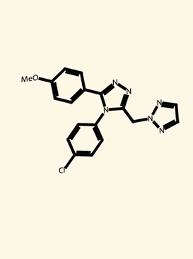 COc1ccc(-c2nnc(Cn3nccn3)n2-c2ccc(Cl)cc2)cc1